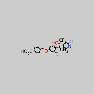 C[C@H](c1ccc(OCc2ccc(C(=O)O)cc2)cc1Cl)[C@@](O)(c1ccnc(Cl)c1)C(F)(F)F